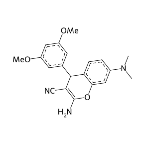 COc1cc(OC)cc(C2C(C#N)=C(N)Oc3cc(N(C)C)ccc32)c1